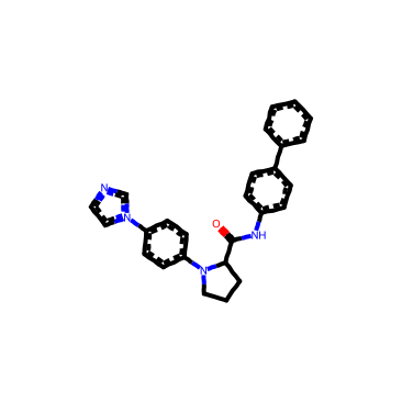 O=C(Nc1ccc(-c2ccccc2)cc1)C1CCCN1c1ccc(-n2ccnc2)cc1